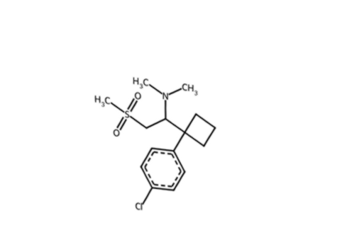 CN(C)C(CS(C)(=O)=O)C1(c2ccc(Cl)cc2)CCC1